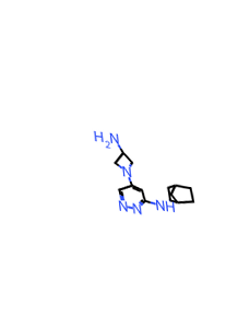 NC1CN(c2cnnc(NC3CC4CCC3C4)c2)C1